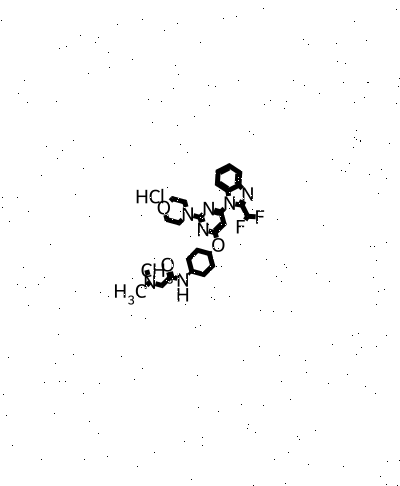 CN(C)CC(=O)N[C@H]1CC[C@H](Oc2cc(-n3c(C(F)F)nc4ccccc43)nc(N3CCOCC3)n2)CC1.Cl